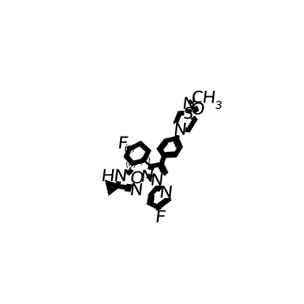 CN=S1(=O)CCN(c2ccc(-c3cn(-c4ccc(F)cn4)nc3[C@@H]3CC[C@H](F)C[C@H]3C(=O)NC3(C#N)CC3)cc2)CC1